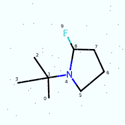 CC(C)(C)N1CCCC1F